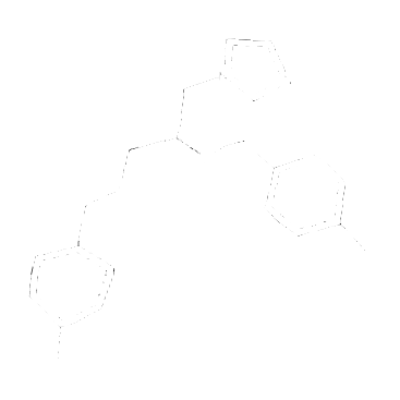 Cc1ccc(CSCC(Cn2ccnc2)SCc2ccc(C)cc2)cc1